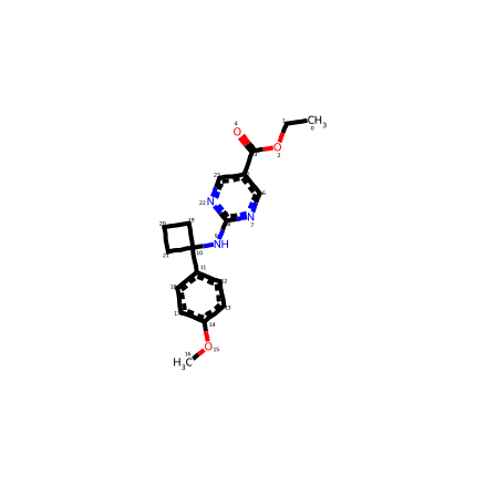 CCOC(=O)c1cnc(NC2(c3ccc(OC)cc3)CCC2)nc1